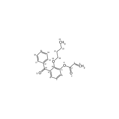 C=CC(=O)Oc1cccc(C(=O)c2ccccc2)c1OCCCC